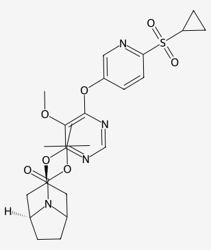 COc1c(Oc2ccc(S(=O)(=O)C3CC3)nc2)ncnc1O[C@H]1CC2CC[C@@H](C1)N2C(=O)OC(C)(C)C